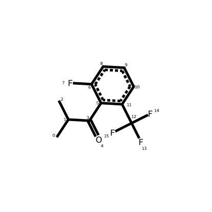 CC(C)C(=O)c1c(F)cccc1C(F)(F)F